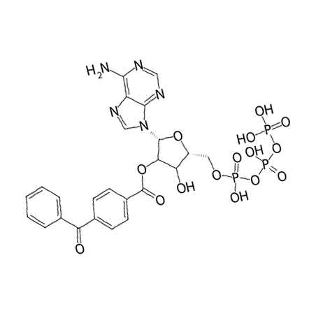 Nc1ncnc2c1ncn2[C@@H]1O[C@H](COP(=O)(O)OP(=O)(O)OP(=O)(O)O)C(O)C1OC(=O)c1ccc(C(=O)c2ccccc2)cc1